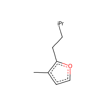 Cc1ccoc1CCC(C)C